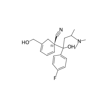 CC(CC(O)(c1ccc(F)cc1)[C@]1(C#N)C=CC=C(CO)C1)N(C)C